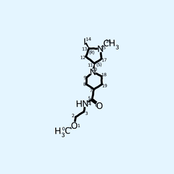 COCCNC(=O)C1CCN([C@H]2C[C@@H](I)N(C)C2)CC1